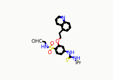 CC(C)NC(=S)Nc1ccc(S(=O)(=O)NCC=O)c(OCCc2cccc3ncccc23)c1